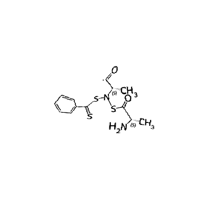 C[C@H](N)C(=O)SN(SC(=S)c1ccccc1)[C@@H](C)[C]=O